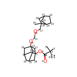 CCC(C)(C)C(=O)OC12CC3CC(CC(OCOCC4(C)CC5CCC4C5)(C3)C1)C2